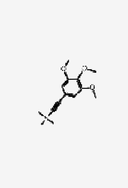 COc1cc(C#CS(C)(C)C)cc(OC)c1OC